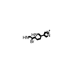 Cn1cc(C2=CN/C(=C(/Br)C=N)C=C2)cn1